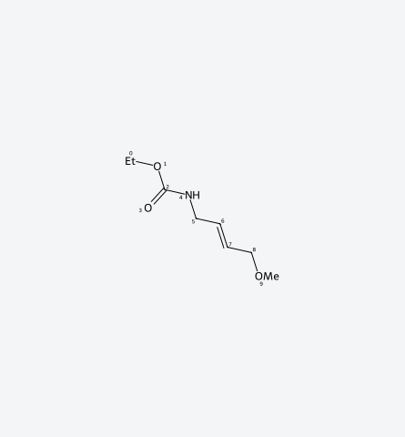 CCOC(=O)NCC=CCOC